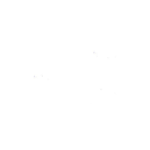 CC(C)(c1ccc(OCC23CC(NS(C)(=O)=O)(C2)C3)cc1)c1cc(Cl)c(OCCC(F)(F)CCOc2ccc3c(c2)CN(C2CCC(=O)NC2=O)C3=O)c(C#N)c1